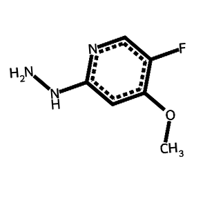 COc1cc(NN)ncc1F